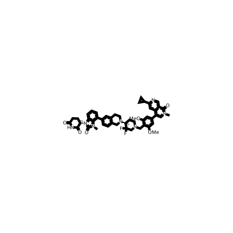 COc1cc(-c2cn(C)c(=O)c3cnc(C4CC4)cc23)cc(OC)c1CN1CC[C@H](N2CCc3cc(-c4cccc5c4n(C)c(=O)n5[C@H]4CCC(=O)NC4=O)ccc3C2)C(F)(F)C1